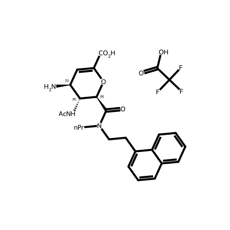 CCCN(CCc1cccc2ccccc12)C(=O)[C@@H]1OC(C(=O)O)=C[C@H](N)[C@H]1NC(C)=O.O=C(O)C(F)(F)F